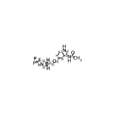 CC(=O)Nc1c[nH]c2ccc(COCC3[C@H]4CN(CC(F)(F)F)C[C@@H]34)cc12